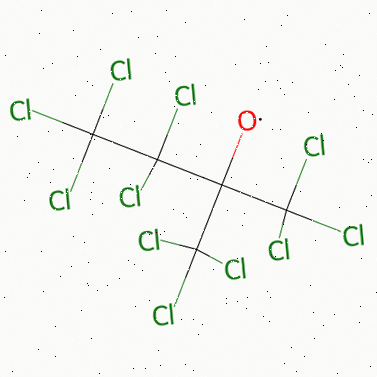 [O]C(C(Cl)(Cl)Cl)(C(Cl)(Cl)Cl)C(Cl)(Cl)C(Cl)(Cl)Cl